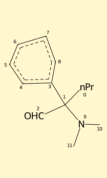 CCCC(C=O)(c1ccccc1)N(C)C